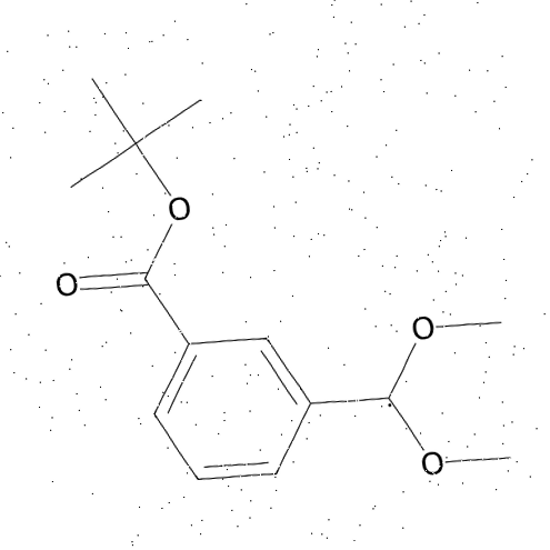 CO[C](OC)c1cccc(C(=O)OC(C)(C)C)c1